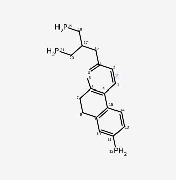 C=C(/C=C\C1=C(C)CCc2cc(P)ccc21)CC(CP)CP